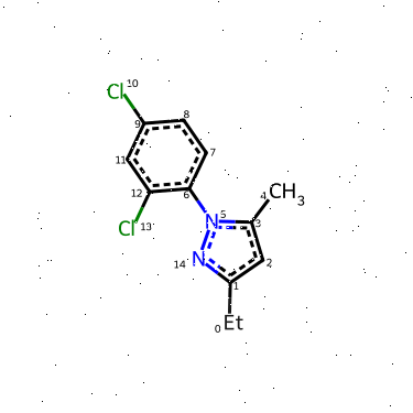 [CH2]Cc1cc(C)n(-c2ccc(Cl)cc2Cl)n1